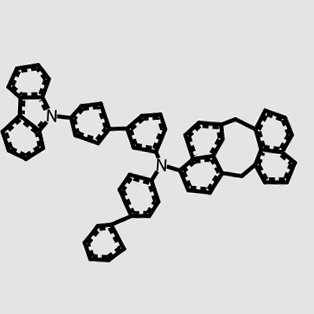 c1ccc(-c2ccc(N(c3cccc(-c4ccc(-n5c6ccccc6c6ccccc65)cc4)c3)c3ccc4c5cc(ccc35)Cc3cccc5cccc(c35)C4)cc2)cc1